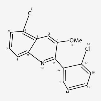 COc1cc2c(Cl)cccc2nc1-c1ccccc1Cl